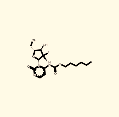 CCCCCCOC(=O)Nc1ccnc(=O)n1[C@@H]1O[C@H](CO)[C@@H](O)C1(F)F